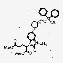 COC(=O)CCC(C(=O)OC)n1c(=O)n(C)c2cc(N3CC[C@@H](CO[Si](c4ccccc4)(c4ccccc4)C(C)(C)C)C3)ccc21